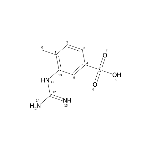 Cc1ccc(S(=O)(=O)O)cc1NC(=N)N